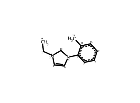 CCN1C=CN(c2ccccc2C)C1